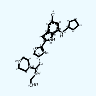 O=CCNC(C[C@@H]1CSC(c2cc3cc(Cl)cc(NC4CCCC4)c3[nH]2)=N1)N1CCOCC1